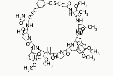 COc1ccc(C[C@@H]2NC(=O)[C@H](CC(C)C)NC(=O)C([C@@H](C)OC)NC(=O)CCSCc3cccc(c3)CSC[C@@H](C(N)=O)NC(=O)[C@]3(C)CCCN3C(=O)[C@H](Cc3ccc(OC)cc3)NC(=O)C([C@@H](C)OC)NC(=O)[C@@H]3CCCN3C(=O)[C@H](Cc3ccc(OC)cc3)NC2=O)cc1